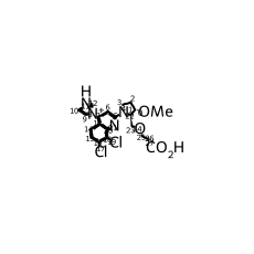 CO[C@H]1CCN(c2cc(-[n+]3cc[nH]c3)c3ccc(Cl)c(Cl)c3n2)[C@@H]1COCCC(=O)O